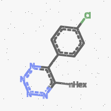 CCCCCCc1nnnnc1-c1ccc(Cl)cc1